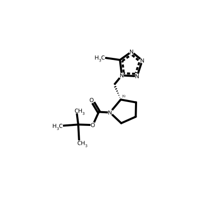 Cc1nnnn1C[C@@H]1CCCN1C(=O)OC(C)(C)C